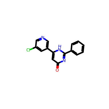 O=c1cc(-c2cncc(Cl)c2)[nH]c(-c2ccccc2)n1